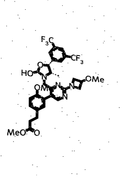 COC(=O)CCc1ccc(OC)c(-c2cnc(N3CC(OC)C3)nc2CN2C(O)O[C@H](c3cc(C(F)(F)F)cc(C(F)(F)F)c3)[C@@H]2C)c1